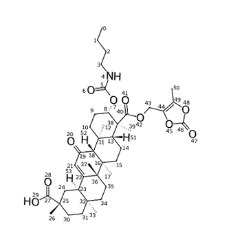 CCCCNC(=O)O[C@H]1CC[C@@]2(C)[C@@H](CC[C@]3(C)[C@@H]2C(=O)C=C2[C@@H]4C[C@@](C)(C(=O)O)CC[C@]4(C)CC[C@]23C)[C@]1(C)C(=O)OCc1oc(=O)oc1C